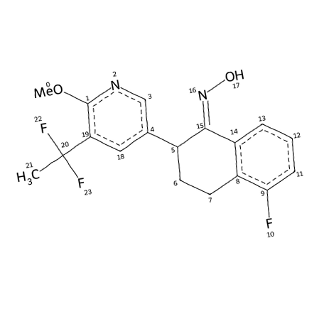 COc1ncc(C2CCc3c(F)cccc3C2=NO)cc1C(C)(F)F